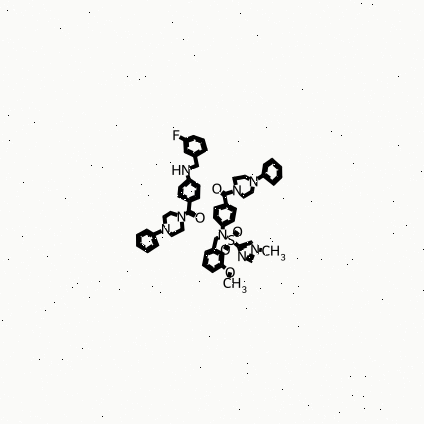 COc1cccc(CN(c2ccc(C(=O)N3CCN(c4ccccc4)CC3)cc2)S(=O)(=O)c2cn(C)cn2)c1.O=C(c1ccc(NCc2cccc(F)c2)cc1)N1CCN(c2ccccc2)CC1